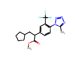 COC(=O)C(CC1CCCC1)c1ccc(-n2nnnc2C)c(C(F)(F)F)c1